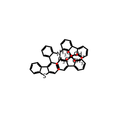 CC1(C)c2ccccc2-c2cccc(N(c3ccccc3-c3cccc4sc5ccccc5c34)c3cccc4c3C(C)(C)c3ccccc3-4)c21